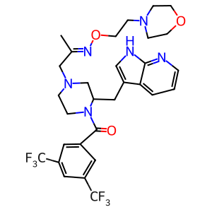 CC(CN1CCN(C(=O)c2cc(C(F)(F)F)cc(C(F)(F)F)c2)C(Cc2c[nH]c3ncccc23)C1)=NOCCN1CCOCC1